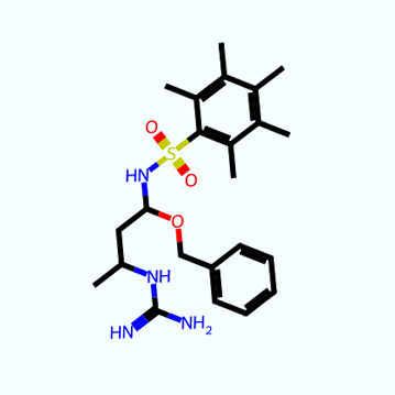 Cc1c(C)c(C)c(S(=O)(=O)NC(CC(C)NC(=N)N)OCc2ccccc2)c(C)c1C